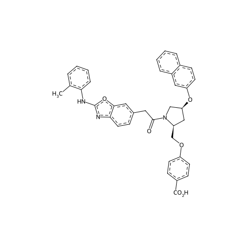 Cc1ccccc1Nc1nc2ccc(CC(=O)N3C[C@@H](Oc4ccc5ccccc5c4)C[C@H]3COc3ccc(C(=O)O)cc3)cc2o1